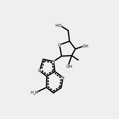 CC1(O)C(O)C(CO)OC1n1cnc2c(N)ccnc21